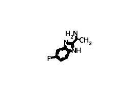 C[C@H](N)c1nc2cc(F)ccc2[nH]1